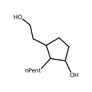 CCCCCC1C(O)CCC1CCO